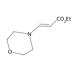 CCOC(=O)C=CN1CCOCC1